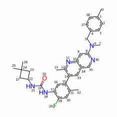 Cc1ccc(CN(C)c2cc3nc(C)c(-c4cc(NC(=O)NC5CC(C)(C)C5)c(F)cc4C)cc3cn2)cc1